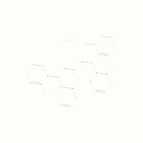 CNC.Cc1ccccc1C(CCCC(c1ccccc1C)c1ccccc1C)c1ccccc1C